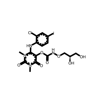 Cn1c(Nc2ccc(I)cc2Cl)c(OC(=O)NOC[C@H](O)CO)c(=O)n(C)c1=O